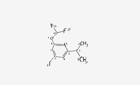 C[C](C)c1cc(I)cc(OC(F)F)c1